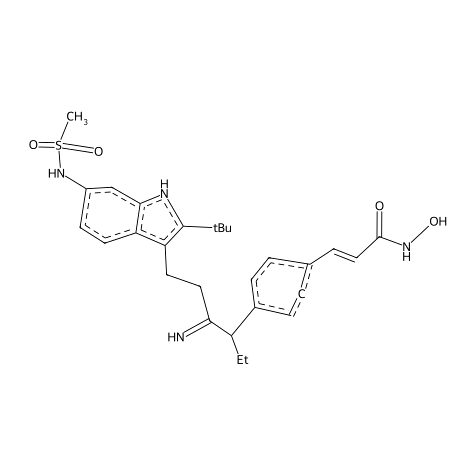 CCC(C(=N)CCc1c(C(C)(C)C)[nH]c2cc(NS(C)(=O)=O)ccc12)c1ccc(/C=C/C(=O)NO)cc1